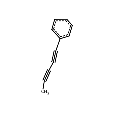 CC#CC#Cc1ccccc1